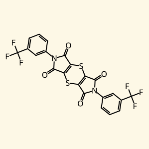 O=c1c2sc3c(=O)n(-c4cccc(C(F)(F)F)c4)c(=O)c3sc2c(=O)n1-c1cccc(C(F)(F)F)c1